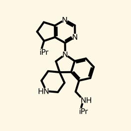 CC(C)NCc1cccc2c1C1(CCNCC1)CN2c1ncnc2c1C(C(C)C)CC2